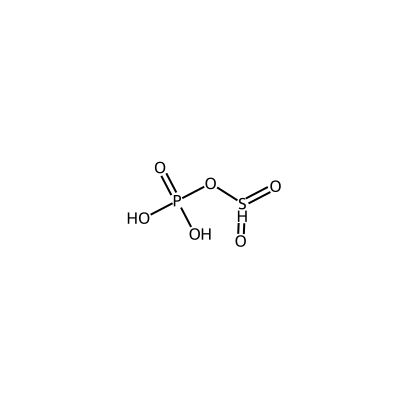 O=[SH](=O)OP(=O)(O)O